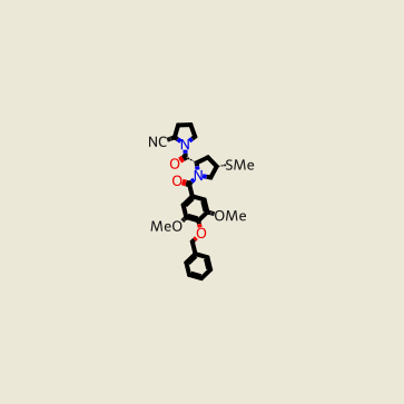 COc1cc(C(=O)N2C[C@@H](SC)C[C@H]2C(=O)N2CCCC2C#N)cc(OC)c1OCc1ccccc1